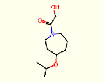 CC(C)OC1CCCN(C(=O)CO)CC1